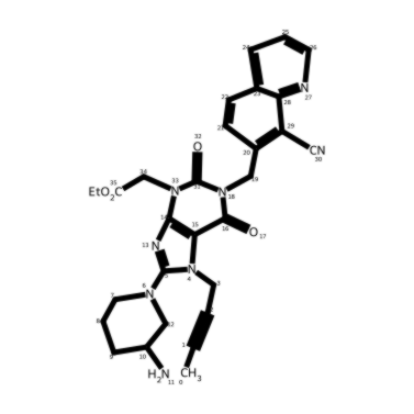 CC#CCn1c(N2CCCC(N)C2)nc2c1c(=O)n(Cc1ccc3cccnc3c1C#N)c(=O)n2CC(=O)OCC